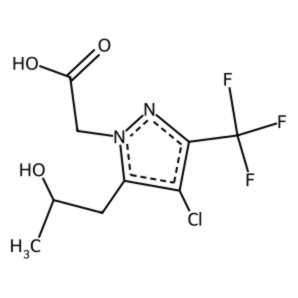 CC(O)Cc1c(Cl)c(C(F)(F)F)nn1CC(=O)O